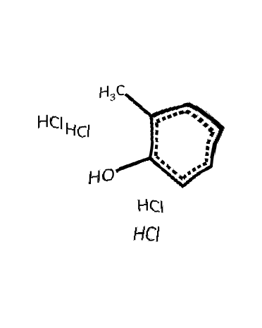 Cc1ccccc1O.Cl.Cl.Cl.Cl